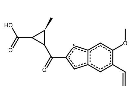 C=Cc1cc2cc(C(=O)C3C(C(=O)O)[C@H]3C)sc2cc1OC